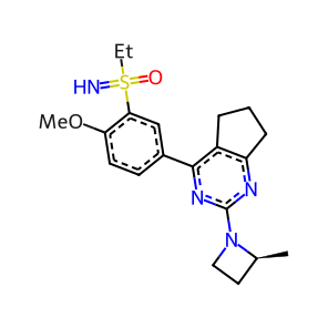 CCS(=N)(=O)c1cc(-c2nc(N3CC[C@@H]3C)nc3c2CCC3)ccc1OC